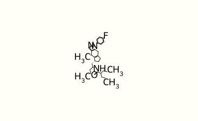 CCCC(C[C@H]1CCC2=C1[C@@H](C)c1cnn(-c3ccc(F)cc3)c1C2)NC(=O)C(CCC)CCC